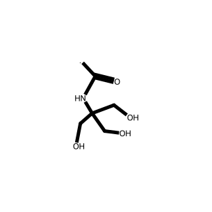 [CH2]C(=O)NC(CO)(CO)CO